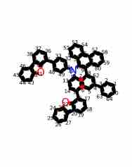 c1ccc(-c2cccc(-c3c(N(c4ccc(-c5cccc6c5oc5ccccc56)cc4)c4ccc(-c5cccc6c5oc5ccccc56)cc4)c4ccccc4c4ccccc34)c2)cc1